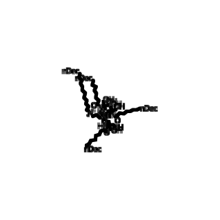 CCCCCCCCCCCCCCCCCCCCCC[N+](C)(C)CCC[Si](OCC(CO)(CO)NC(=O)CCCCCCCCCCCCCCCCC)(OCC(CO)(CO)NC(=O)CCCCCCCCCCCCCCCCC)OCC(CO)(CO)NC(=O)CCCCCCCCCCCCCCCCC